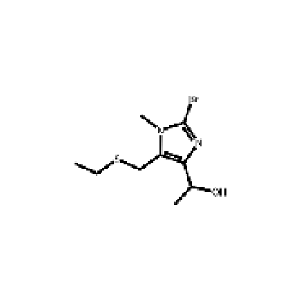 CCSCc1c(C(C)O)nc(Br)n1C